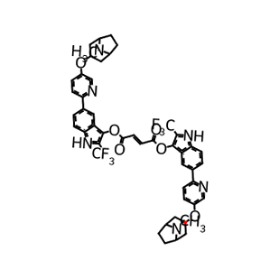 CN1C2CCC1CC(Oc1ccc(-c3ccc4[nH]c(C(F)(F)F)c(OC(=O)/C=C/C(=O)Oc5c(C(F)(F)F)[nH]c6ccc(-c7ccc(OC8CC9CCC(C8)N9C)cn7)cc56)c4c3)nc1)C2